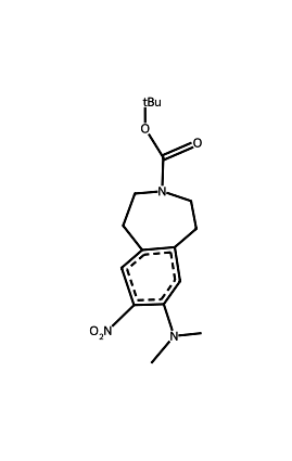 CN(C)c1cc2c(cc1[N+](=O)[O-])CCN(C(=O)OC(C)(C)C)CC2